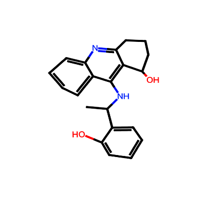 CC(Nc1c2c(nc3ccccc13)CCCC2O)c1ccccc1O